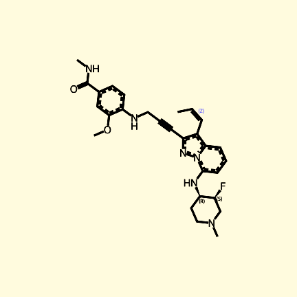 C/C=C\c1c(C#CCNc2ccc(C(=O)NC)cc2OC)nn2c(N[C@@H]3CCN(C)C[C@@H]3F)cccc12